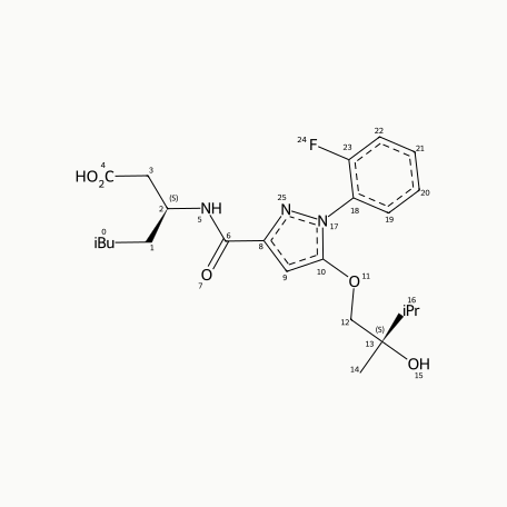 CCC(C)C[C@@H](CC(=O)O)NC(=O)c1cc(OC[C@@](C)(O)C(C)C)n(-c2ccccc2F)n1